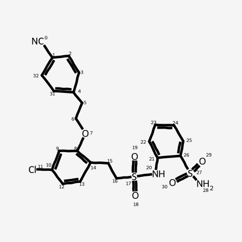 N#Cc1ccc(CCOc2cc(Cl)ccc2CCS(=O)(=O)Nc2ccccc2S(N)(=O)=O)cc1